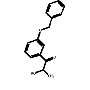 CC(O)C(=O)c1cccc(OCc2ccccc2)c1